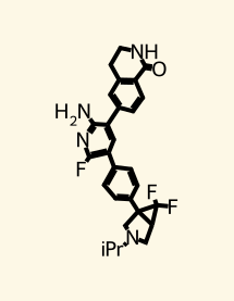 CC(C)N1CC2C(F)(F)C2(c2ccc(-c3cc(-c4ccc5c(c4)CCNC5=O)c(N)nc3F)cc2)C1